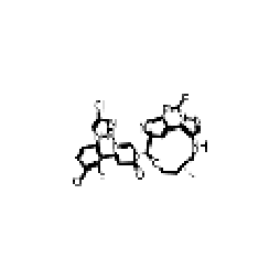 C[C@@H]1CCC[C@H](n2cnc(-c3c(-n4cc(Cl)nn4)ccc(Cl)c3F)cc2=O)c2cc(ccn2)-c2c(cnn2C(F)F)NC1